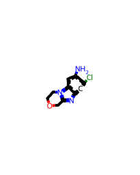 Nc1cc2c(cc1Cl)nc1n2CCOC1